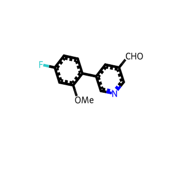 COc1cc(F)ccc1-c1cncc(C=O)c1